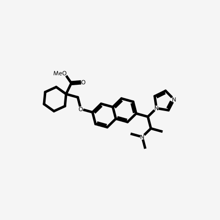 COC(=O)C1(COc2ccc3cc(C(C(C)N(C)C)n4ccnc4)ccc3c2)CCCCC1